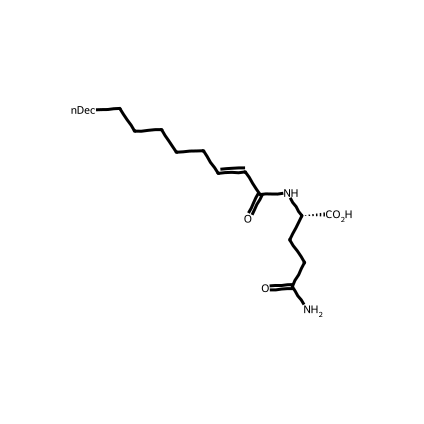 CCCCCCCCCCCCCCCC=CC(=O)N[C@@H](CCC(N)=O)C(=O)O